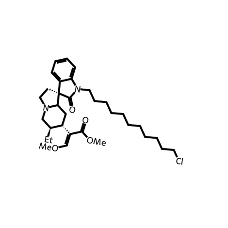 CC[C@H]1CN2CC[C@]3(C(=O)N(CCCCCCCCCCCCl)c4ccccc43)C2C[C@@H]1/C(=C\OC)C(=O)OC